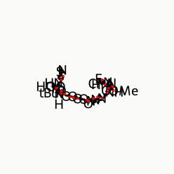 COc1cc2ncnc(Nc3ccc(F)c(Cl)c3)c2cc1NC(=O)/C=C/CN1CCC(N2CCN(C(=O)CCOCCOCCOCCOCCC(=O)N[C@H](C(=O)N3C[C@H](O)C[C@H]3C(=O)NCc3ccc(-c4scnc4C)cc3)C(C)(C)C)CC2)CC1